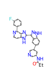 CCC(=O)Nc1cncc(-c2ccc3[nH]nc(-c4nc5c(-c6cccc(F)c6)nccc5[nH]4)c3c2)c1